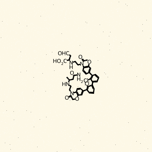 CC(CC(N)=O)NCCN1C(=O)COc2cc(-c3cccc(-c4cccc(-c5ccc6c(c5)OCC(=O)N6CCNC(CC=O)C(=O)O)c4Cl)c3Cl)ccc21